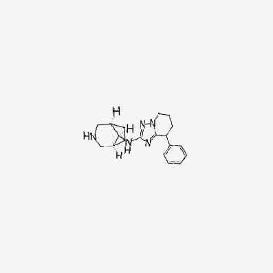 c1ccc(C2CCCn3nc(N[C@@H]4[C@@H]5CC[C@H]4CNC5)nc32)cc1